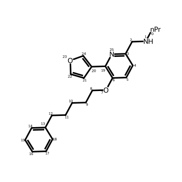 [CH2]CCNCc1ccc(OCCCCCc2ccccc2)c(-c2ccoc2)n1